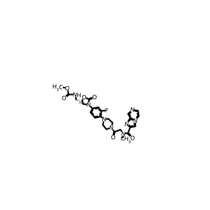 COC(=O)NC[C@H]1CN(c2ccc(N3CCN(C(=O)CN(C)C(=O)c4cn5ccncc5n4)CC3)c(F)c2)C(=O)O1